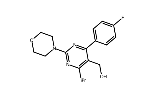 CC(C)c1nc(N2CCOCC2)nc(-c2ccc(F)cc2)c1CO